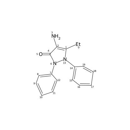 CCc1c(N)c(=O)n(-c2ccccc2)n1-c1ccccc1